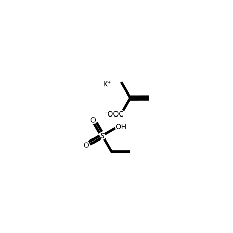 C=C(C)C(=O)[O-].CCS(=O)(=O)O.[K+]